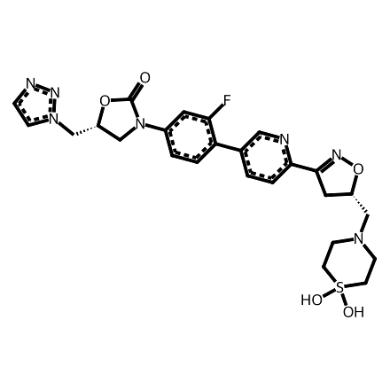 O=C1O[C@@H](Cn2ccnn2)CN1c1ccc(-c2ccc(C3=NO[C@H](CN4CCS(O)(O)CC4)C3)nc2)c(F)c1